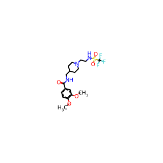 COc1ccc(C(=O)NCC2CCN(CCNS(=O)(=O)C(F)(F)F)CC2)cc1OC